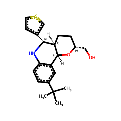 CC(C)(C)c1ccc2c(c1)[C@@H]1O[C@@H](CO)CC[C@@H]1[C@@H](c1ccsc1)N2